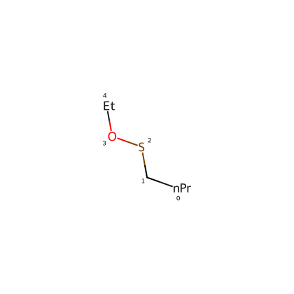 CCCCSOCC